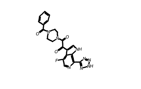 O=C(C(=O)N1CCN(C(=O)c2ccccc2)CC1)c1c[nH]c2c(-c3nn[nH]n3)ncc(F)c12